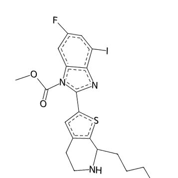 CCCCC1NCCc2cc(-c3nc4c(I)cc(F)cc4n3C(=O)OC)sc21